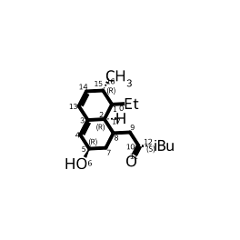 CCC1[C@@H]2C(=C[C@H](O)CC2CC(=O)[C@@H](C)CC)C=C[C@@H]1C